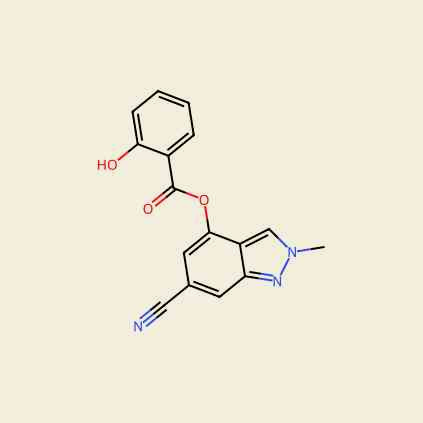 Cn1cc2c(OC(=O)c3ccccc3O)cc(C#N)cc2n1